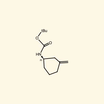 C=C1CCC[C@@H](NC(=O)OC(C)(C)C)C1